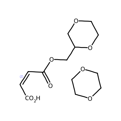 C1COCCO1.O=C(O)/C=C\C(=O)OCC1COCCO1